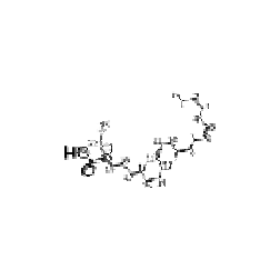 CC/C=C\C/C=C\C/C=C\C/C=C\C/C=C\CCCCC(OCC)C(=O)O